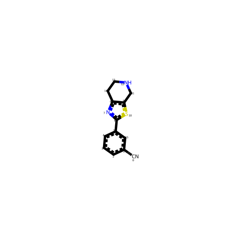 N#Cc1cccc(-c2nc3c(s2)CNCC3)c1